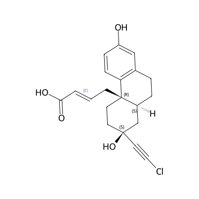 O=C(O)/C=C/C[C@]12CC[C@@](O)(C#CCl)C[C@@H]1CCc1cc(O)ccc12